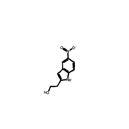 O=[N+]([O-])c1ccc2[nH]c(CCO)cc2c1